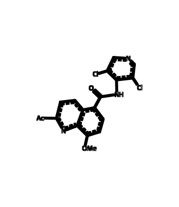 COc1ccc(C(=O)Nc2c(Cl)cncc2Cl)c2ccc(C(C)=O)nc12